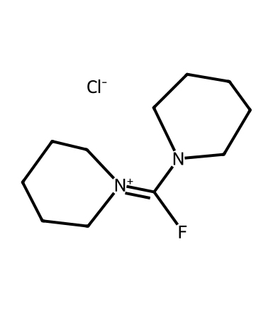 FC(N1CCCCC1)=[N+]1CCCCC1.[Cl-]